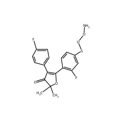 CC1(C)OC(c2ccc(SOON)cc2F)=C(c2ccc(F)cc2)C1=O